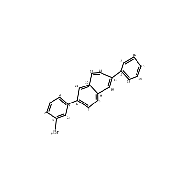 Brc1cccc(-c2ccc3cc(-c4ccccc4)ccc3c2)c1